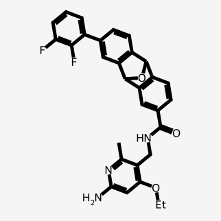 CCOc1cc(N)nc(C)c1CNC(=O)c1ccc2c(c1)C1OC2c2ccc(-c3cccc(F)c3F)cc21